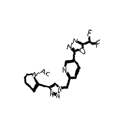 CC(=O)N1CCCC1c1cn(Cc2ccc(-c3nnc(C(F)F)o3)cn2)nn1